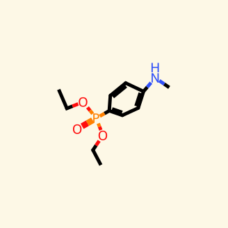 CCOP(=O)(OCC)c1ccc(NC)cc1